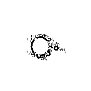 CO[C@H]1C[C@@H]2CC[C@@H](C)[C@@](O)(O2)C(=O)C(=O)N2CCCC[C@H]2C(=O)O[C@H]([C@H](N)C[C@@H]2CC[C@@H](OC)[C@H](OC)C2)CC[C@H](C)/C=C(\C)[C@@H](O)[C@@H](O)C(=O)[C@H](C)C[C@H](C)/C=C/C=C/C=C/1C